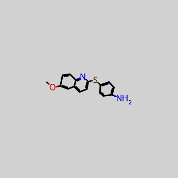 COc1ccc2nc(Sc3ccc(N)cc3)ccc2c1